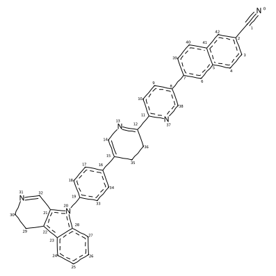 N#Cc1ccc2cc(-c3ccc(C4=NC=C(c5ccc(-n6c7c(c8ccccc86)CCN=C7)cc5)CC4)nc3)ccc2c1